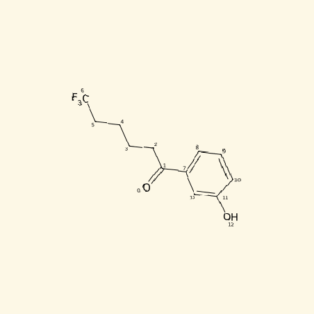 O=C(CCCCC(F)(F)F)c1cccc(O)c1